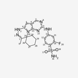 CC1=NNc2cc3cnc(Nc4ccc(S(N)(=O)=O)c(F)c4)nc3n2C12CCCCC2